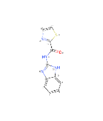 O=C(Nc1nc2ccccc2[nH]1)c1nccs1